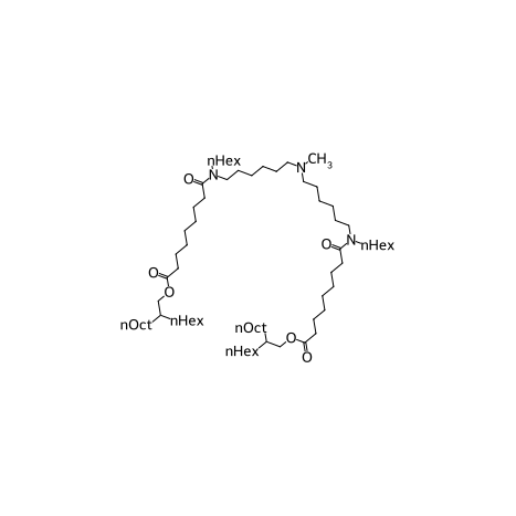 CCCCCCCCC(CCCCCC)COC(=O)CCCCCCCC(=O)N(CCCCCC)CCCCCCN(C)CCCCCCN(CCCCCC)C(=O)CCCCCCCC(=O)OCC(CCCCCC)CCCCCCCC